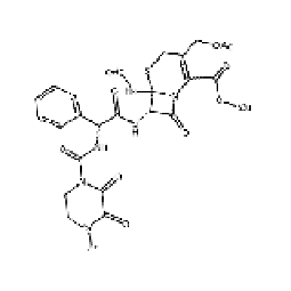 CCN1CCN(C(=O)NC(C(=O)N[C@H]2C(=O)N3C(C(=O)OC(C)(C)C)=C(COC(C)=O)CSC23NC=O)c2ccccc2)C(=O)C1=O